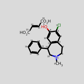 CN1CCc2cc(Cl)c(O)cc2C(c2ccccc2)C1.O=C(O)C=CC(=O)O